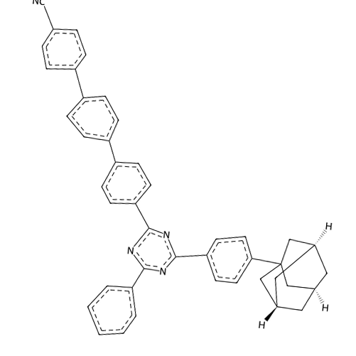 N#Cc1ccc(-c2ccc(-c3ccc(-c4nc(-c5ccccc5)nc(-c5ccc(C67C[C@H]8C[C@H](C6)C[C@@H](C7)C8)cc5)n4)cc3)cc2)cc1